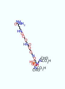 NC(=O)C(N)CCCCNCOCOCCOCCNC(=O)COCCOCCN=COCCC(N(CCN(CC=O)CC(=O)O)CCN(CC=O)CC(=O)O)P(=O)(O)O